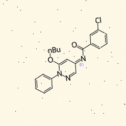 CCCCOc1c/c(=N\C(=O)c2cccc(Cl)c2)cnn1-c1ccccc1